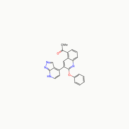 COC(=O)c1cccc2nc(Oc3ccccc3)c(-c3cc[nH]c4nncc3-4)cc12